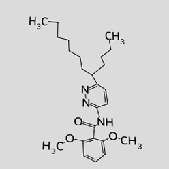 CCCCCCCC(CCCC)c1ccc(NC(=O)c2c(OC)cccc2OC)nn1